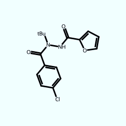 CC(C)(C)N(NC(=O)c1ccco1)C(=O)c1ccc(Cl)cc1